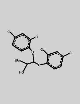 CC(C)(C)C(O)C(Oc1ccc(Cl)cc1Cl)Oc1ccc(Cl)cc1Cl